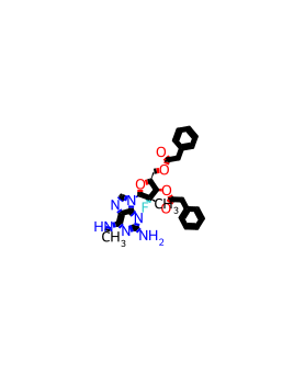 CNc1nc(N)nc2c1ncn2[C@@H]1O[C@H](COC(=O)Cc2ccccc2)[C@@H](OC(=O)Cc2ccccc2)[C@@]1(C)F